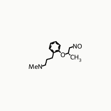 CNCCCc1ccccc1O[C@H](C)CN=O